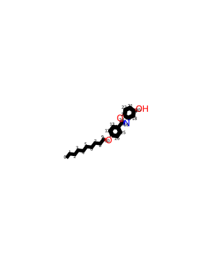 CCCCCCCCCCOc1ccc(-c2nc3cc(O)ccc3o2)cc1